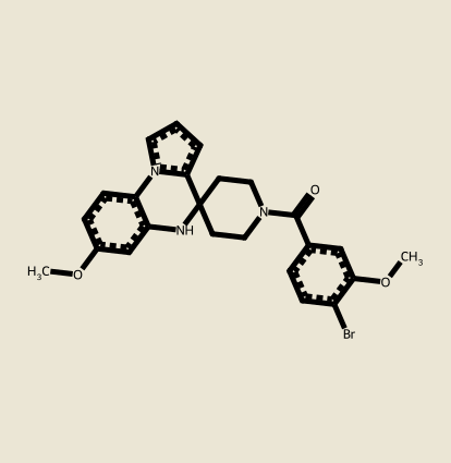 COc1ccc2c(c1)NC1(CCN(C(=O)c3ccc(Br)c(OC)c3)CC1)c1cccn1-2